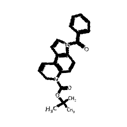 CC(C)(C)OC(=O)N1CC=Cc2c1ccc1c2ccn1C(=O)c1ccccc1